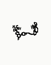 CNC(=O)c1cc2c(N3CCN(CCc4ccc5c(c4)NC(=O)CC5)CC3)cc(F)cc2s1